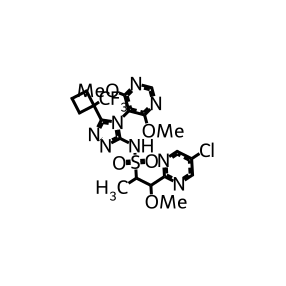 COc1ncnc(OC)c1-n1c(NS(=O)(=O)C(C)C(OC)c2ncc(Cl)cn2)nnc1C1(C(F)(F)F)CCC1